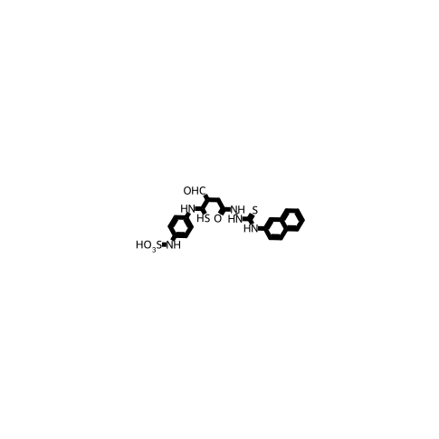 O=CC(CC(=O)NNC(=S)Nc1ccc2ccccc2c1)C(S)Nc1ccc(NS(=O)(=O)O)cc1